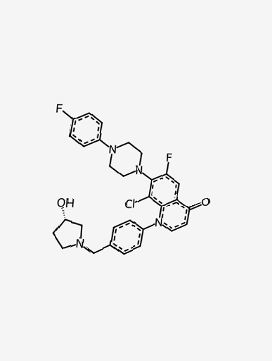 O=c1ccn(-c2ccc(CN3CC[C@H](O)C3)cc2)c2c(Cl)c(N3CCN(c4ccc(F)cc4)CC3)c(F)cc12